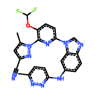 Cc1ccc(Nc2ccc3ncn(-c4ccc(OC(F)F)c(-n5nc(C#N)cc5C)n4)c3c2)nn1